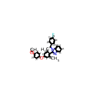 COc1ccc(Oc2cc(C)c(-c3nc4ccccc4n3Cc3ccc(F)cc3)c(C)c2)cc1